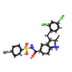 CCc1ccc(S(=O)(=O)NC(=O)c2ccc3[nH]c(C)c(Cc4ccc(Cl)cc4Cl)c3c2)cc1